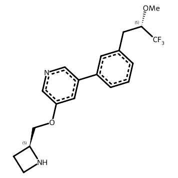 CO[C@@H](Cc1cccc(-c2cncc(OC[C@@H]3CCN3)c2)c1)C(F)(F)F